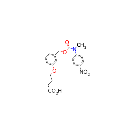 CN(C(=O)OCc1cccc(OCCCC(=O)O)c1)c1ccc([N+](=O)[O-])cc1